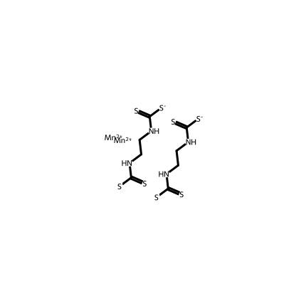 S=C([S-])NCCNC(=S)[S-].S=C([S-])NCCNC(=S)[S-].[Mn+2].[Mn+2]